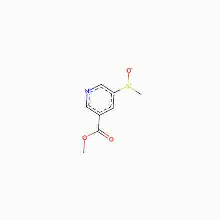 COC(=O)c1cncc([S+](C)[O-])c1